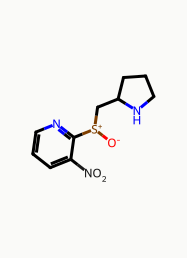 O=[N+]([O-])c1cccnc1[S+]([O-])CC1CCCN1